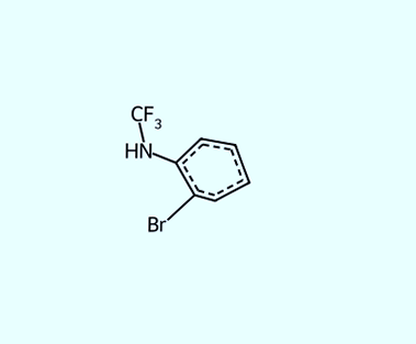 FC(F)(F)Nc1ccccc1Br